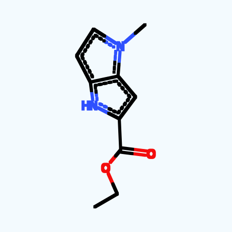 CCOC(=O)c1cc2c(ccn2C)[nH]1